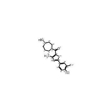 CCCCN1CCCN(C(=O)c2sc(-c3ccc(Cl)c(F)c3)nc2C)CC1